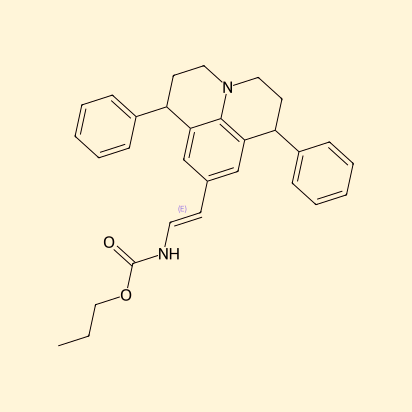 CCCOC(=O)N/C=C/c1cc2c3c(c1)C(c1ccccc1)CCN3CCC2c1ccccc1